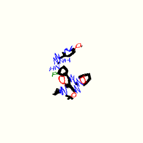 CCN1CC(C)(C)Oc2nc(N3CC4CCC(C3)O4)nc(-c3ccc(Nc4nnc(-c5ccc(OC)nc5)[nH]4)c(F)c3)c2C1=O